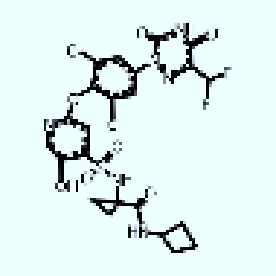 O=C(NC1CCC1)C1(NS(=O)(=O)c2cc(Oc3c(Cl)cc(-n4nc(C(F)F)c(=O)[nH]c4=O)cc3Cl)ncc2O)CC1